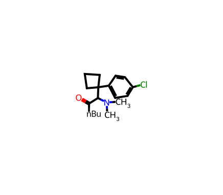 CCCCC(=O)C(N(C)C)C1(c2ccc(Cl)cc2)CCC1